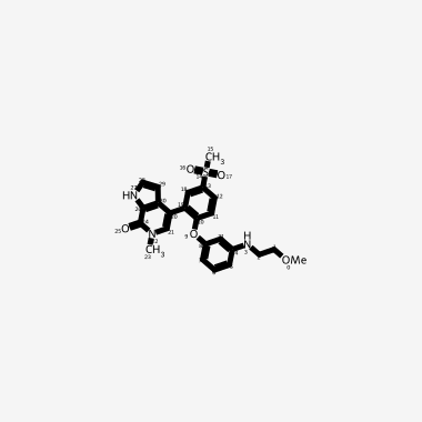 COCCNc1cccc(Oc2ccc(S(C)(=O)=O)cc2-c2cn(C)c(=O)c3[nH]ccc23)c1